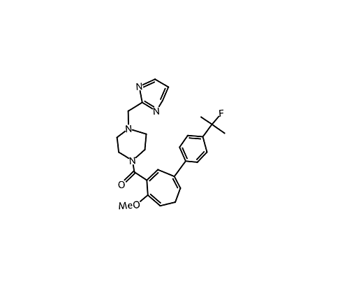 COC1=CCC=C(c2ccc(C(C)(C)F)cc2)C=C1C(=O)N1CCN(Cc2ncccn2)CC1